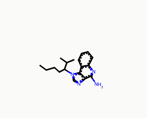 CCCCC(C(C)C)n1cnc2c(N)nc3ccccc3c21